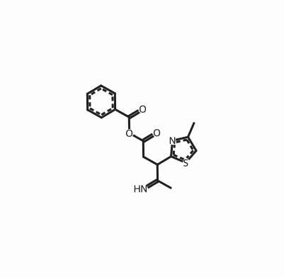 CC(=N)C(CC(=O)OC(=O)c1ccccc1)c1nc(C)cs1